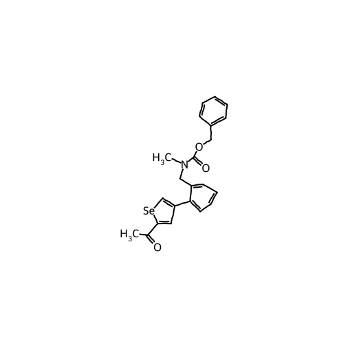 CC(=O)c1cc(-c2ccccc2CN(C)C(=O)OCc2ccccc2)c[se]1